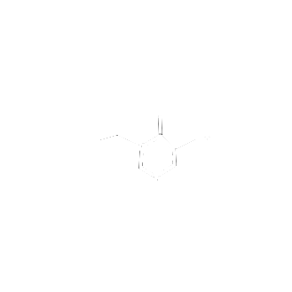 COc1cncn(CC(=O)O)c1=O